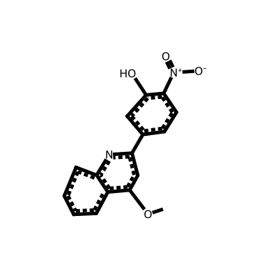 COc1cc(-c2ccc([N+](=O)[O-])c(O)c2)nc2ccccc12